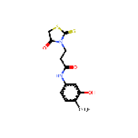 O=C(CCN1C(=O)CSC1=S)Nc1ccc(C(=O)O)c(O)c1